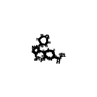 CCNc1ccc(-c2c(C(C)C)cnn2C2CCOCC2)c(F)n1